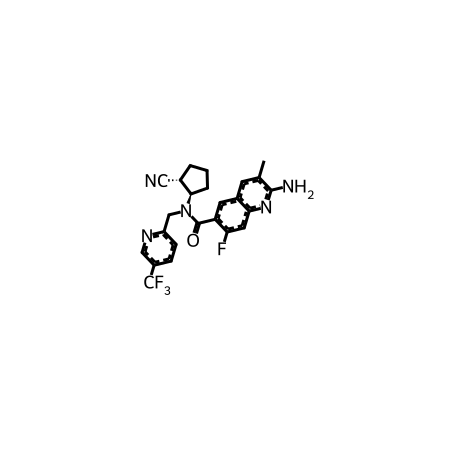 Cc1cc2cc(C(=O)N(Cc3ccc(C(F)(F)F)cn3)[C@@H]3CCC[C@H]3C#N)c(F)cc2nc1N